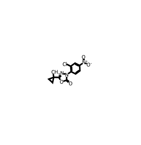 CC1(c2nn(-c3ccc([N+](=O)[O-])cc3Cl)c(=O)o2)CC1